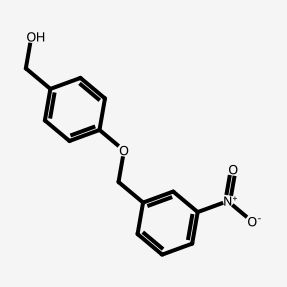 O=[N+]([O-])c1cccc(COc2ccc(CO)cc2)c1